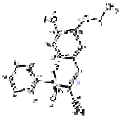 CCOc1cc(/C=C(/C#N)S(=O)(=O)c2ccccn2)ccc1O